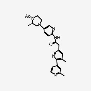 CC(=O)N1CCN(c2ccc(NC(=O)Cc3cnc(-c4ccnc(C)c4)c(C)c3)nc2)C[C@H]1C